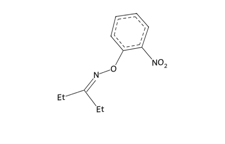 CCC(CC)=NOc1ccccc1[N+](=O)[O-]